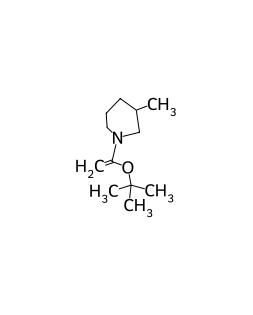 C=C(OC(C)(C)C)N1CCCC(C)C1